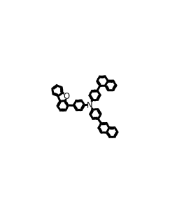 c1ccc2cc(-c3ccc(N(c4ccc(-c5cccc6ccccc56)cc4)c4ccc(-c5cccc6c5oc5ccccc56)cc4)cc3)ccc2c1